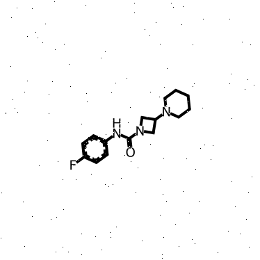 O=C(Nc1ccc(F)cc1)N1CC(N2CCCCC2)C1